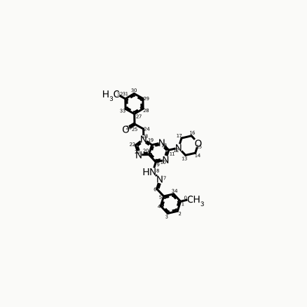 Cc1cccc(/C=N/Nc2nc(N3CCOCC3)nc3c2ncn3CC(=O)c2cccc(C)c2)c1